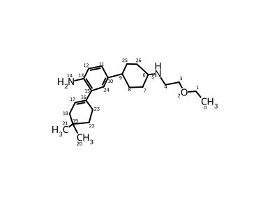 CCOCCNC1CCC(c2ccc(N)c(C3=CCC(C)(C)CC3)c2)CC1